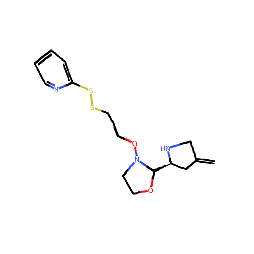 C=C1CN[C@H](C2OCCN2OCCSSc2ccccn2)C1